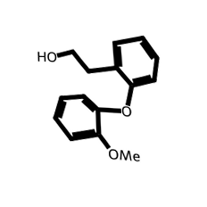 COc1ccccc1Oc1ccccc1CCO